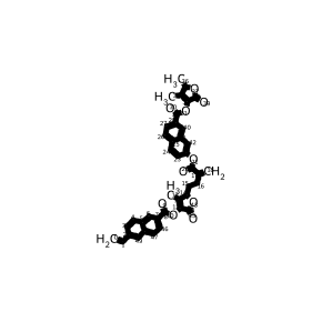 C=Cc1ccc2cc(C(=O)OC3=C(C)C(CCC(=C)C(=O)Oc4ccc5ccc(C(=O)OC6=C(C)C(C)OC6=O)cc5c4)OC3=O)ccc2c1